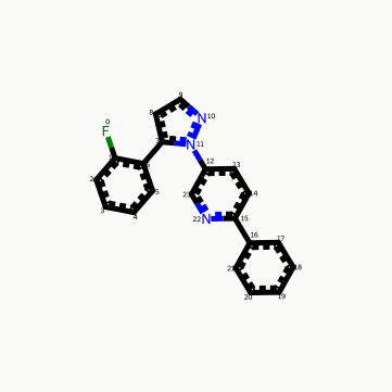 Fc1ccccc1-c1ccnn1-c1ccc(-c2ccccc2)nc1